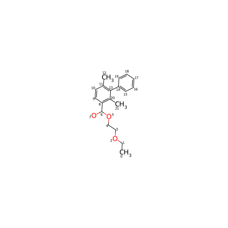 CCOCCOC([O])c1ccc(C)c(-c2ccccc2)c1C